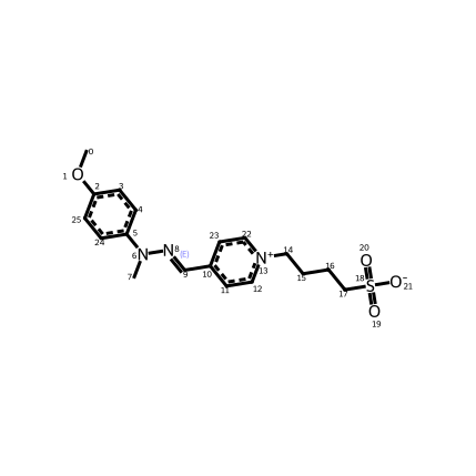 COc1ccc(N(C)/N=C/c2cc[n+](CCCCS(=O)(=O)[O-])cc2)cc1